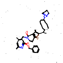 Cc1cc(C)c(CN2CCc3sc([C@H](C)[C@H]4CC[C@H](N5CCC5)CC4)c(C)c3C2=O)c(OCc2ccccc2)n1